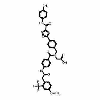 COc1ccc(CC(=O)Nc2ccc(C(=O)N(CC(=O)O)Cc3ccc(-c4nc(C(=O)Nc5ccc(C)cc5)no4)cc3)cc2)c(C(F)(F)F)c1